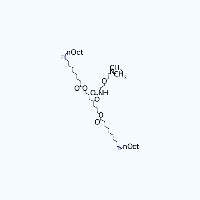 CCCCCCCC/C=C\CCCCCCCC(=O)OCCCC(CCCOC(=O)CCCCCCC/C=C\CCCCCCCC)OC(=O)NCCOCCN(C)C